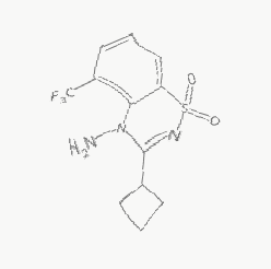 NN1C(C2CCC2)=NS(=O)(=O)c2cccc(C(F)(F)F)c21